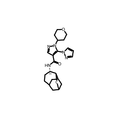 O=C(N[C@H]1CCC2CC3CC(C2)C1C3)c1cnn(C2CCOCC2)c1-n1cccn1